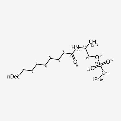 CCCCCCCCCCCCCCCCCC(=O)NC(C)COS(=O)(=O)OC(C)C